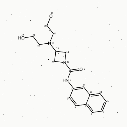 O=C(Nc1ccc2ccccc2c1)N1CC(N(CCO)CCO)C1